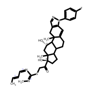 C/C=C/C=N\C(=N/C)SCC(=O)[C@@]1(O)CCC2C3CCC4=Cc5c(cnn5-c5ccc(F)cc5)CC4(C)C3[C@@H](O)CC21C